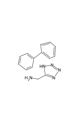 NCc1nnn[nH]1.c1ccc(-c2ccccc2)cc1